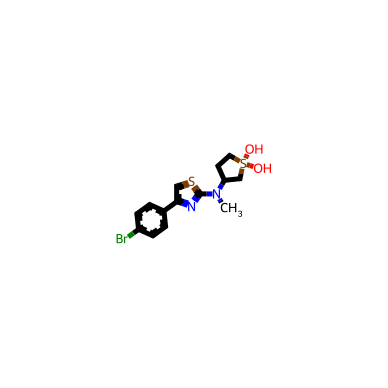 CN(c1nc(-c2ccc(Br)cc2)cs1)C1CCS(O)(O)C1